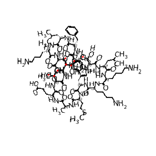 CSCC[C@H](NC(=O)[C@H](Cc1c[nH]c2ccccc12)NC(=O)[C@H](CCCCN)NC(=O)[C@H](CCCCN)NC(=O)[C@H](CC(C)C)NC(=O)[C@@H](N)[C@@H](C)O)C(=O)N[C@@H](C)C(=O)N[C@@H](CCC(=O)O)C(=O)N[C@H](C(=O)N[C@@H](CC(=O)O)C(=O)N[C@H](C(=O)N[C@@H](Cc1ccccc1)C(=O)N[C@@H](CC(C)C)C(=O)N[C@@H](CCCCN)C(=O)N[C@@H](CCC(=O)O)C(=O)O)C(C)C)C(C)C